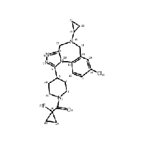 O=C(N1CCC(c2nnc3n2-c2ccc(Cl)cc2CN(C2CC2)C3)CC1)C1(F)CC1